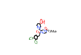 COC(=O)N1CCN(C(=O)Cc2ccc(Cl)c(Cl)c2)C(CN2CCC(O)C2)C1